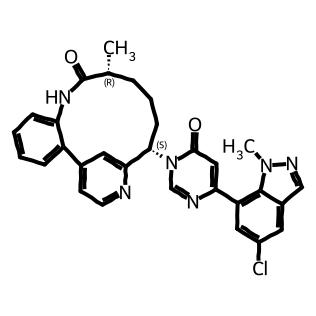 C[C@@H]1CCC[C@H](n2cnc(-c3cc(Cl)cc4cnn(C)c34)cc2=O)c2cc(ccn2)-c2ccccc2NC1=O